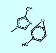 Cn1cnc(O)c1.Oc1ccc2c(c1)O2